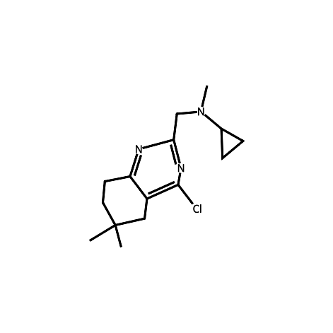 CN(Cc1nc(Cl)c2c(n1)CCC(C)(C)C2)C1CC1